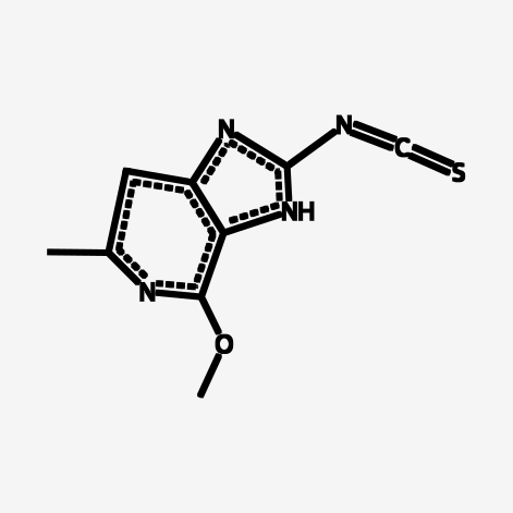 COc1nc(C)cc2nc(N=C=S)[nH]c12